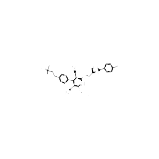 CC(C)(O)CCc1ccc(-c2c(C#N)c(N)nc(SCc3coc(-c4ccc(Cl)cc4)n3)c2C#N)cc1